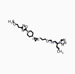 C/C=C/C(=C\N=C\OCCC[C@@H]1C[C@@H]1C1CCN(c2nc(CCOC)no2)CC1)n1cnnn1